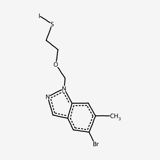 Cc1cc2c(cnn2COCCSI)cc1Br